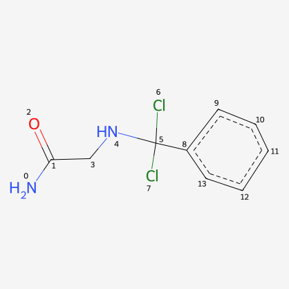 NC(=O)CNC(Cl)(Cl)c1ccccc1